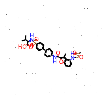 Cc1c(C(=O)Nc2ccc(-c3ccc(S(=O)(=O)NC(C(=O)O)C(C)C)cc3)cc2)oc2cccc(NCS(C)(=O)=O)c12